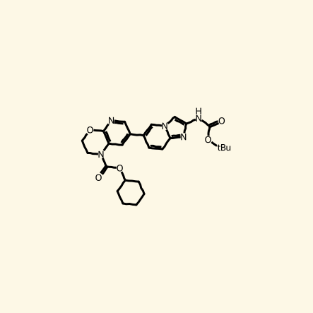 CC(C)(C)OC(=O)Nc1cn2cc(-c3cnc4c(c3)N(C(=O)OC3CCCCC3)CCO4)ccc2n1